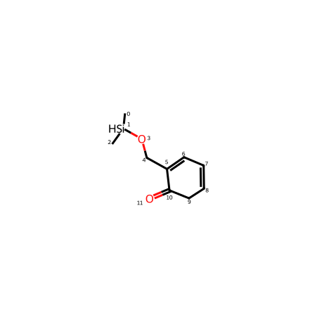 C[SiH](C)OCC1=CC=CCC1=O